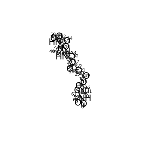 COC(=O)N[C@H](C(=O)N1[C@@H](C)CC[C@H]1C(=O)OCC(=O)c1ccc2c(c1)COc1cc3c(ccc4nc([C@@H]5C[C@H](C)CN5C(=O)[C@@H](NC(=O)OC)[C@@H](C)OC)[nH]c43)cc1-2)C(C)C